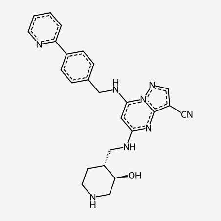 N#Cc1cnn2c(NCc3ccc(-c4ccccn4)cc3)cc(NC[C@H]3CCNC[C@@H]3O)nc12